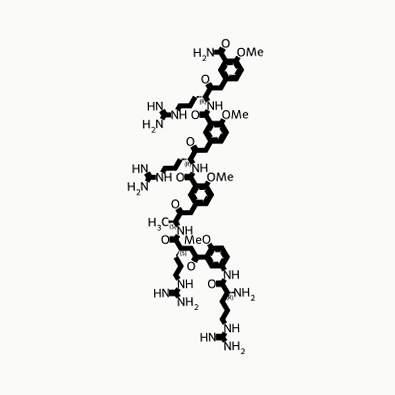 COc1ccc(CC(=O)[C@@H](CCCNC(=N)N)NC(=O)c2cc(CC(=O)[C@@H](CCCNC(=N)N)NC(=O)c3cc(CC(=O)[C@H](C)NC(=O)[C@@H](CCCNC(=N)N)CC(=O)c4cc(NC(=O)[C@H](N)CCCNC(=N)N)ccc4OC)ccc3OC)ccc2OC)cc1C(N)=O